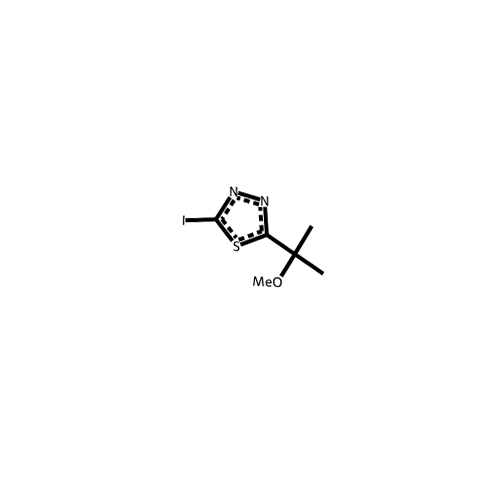 COC(C)(C)c1nnc(I)s1